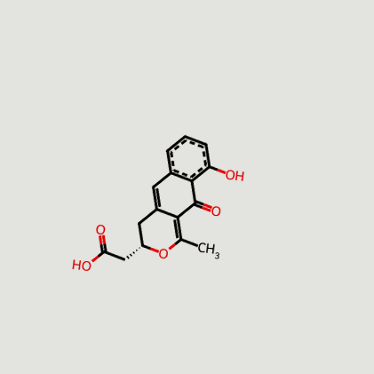 CC1=C2C(=O)c3c(O)cccc3C=C2C[C@@H](CC(=O)O)O1